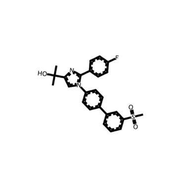 CC(C)(O)c1cn(-c2ccc(-c3cccc(S(C)(=O)=O)c3)cc2)c(-c2ccc(F)cc2)n1